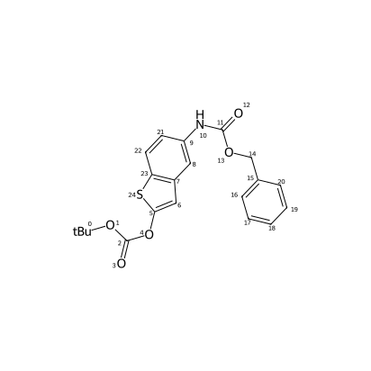 CC(C)(C)OC(=O)Oc1cc2cc(NC(=O)OCc3ccccc3)ccc2s1